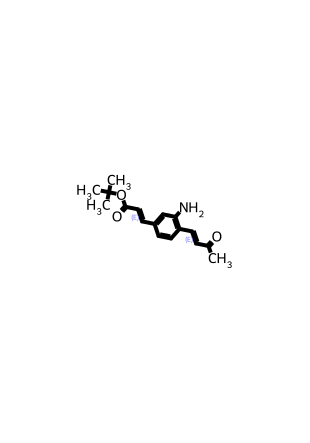 CC(=O)/C=C/c1ccc(/C=C/C(=O)OC(C)(C)C)cc1N